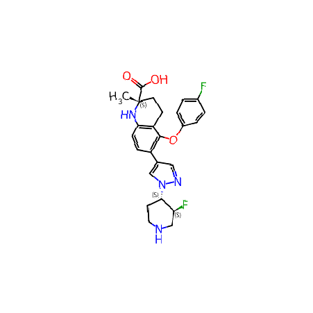 C[C@@]1(C(=O)O)CCc2c(ccc(-c3cnn([C@H]4CCNC[C@@H]4F)c3)c2Oc2ccc(F)cc2)N1